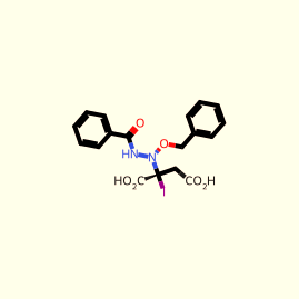 O=C(O)C[C@@](I)(C(=O)O)N(NC(=O)c1ccccc1)OCc1ccccc1